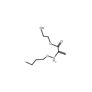 C=C([SiH2]OCCCC)C(=O)OCCO